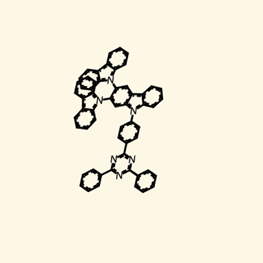 c1ccc(-c2nc(-c3ccccc3)nc(-c3ccc(-n4c5ccccc5c5cc(-n6c7ccccc7c7ccccc76)c(-n6c7ccccc7c7ccccc76)cc54)cc3)n2)cc1